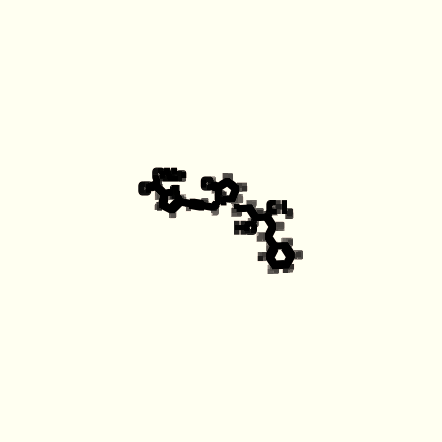 COC(=O)c1ccc(C#CCN2C(=O)CC[C@@H]2CC[C@@H](O)[C@@H](C)CCc2ccccc2)s1